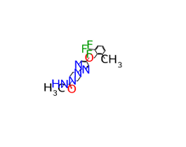 CNC(=O)N1CCN(c2ncc(OCc3c(C)cccc3C(F)(F)F)cn2)CC1